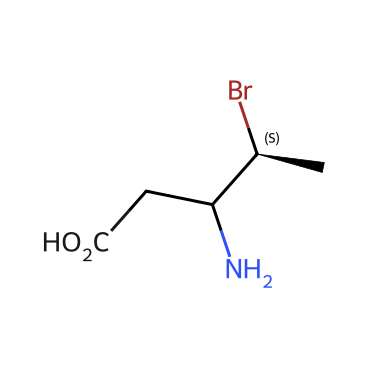 C[C@H](Br)C(N)CC(=O)O